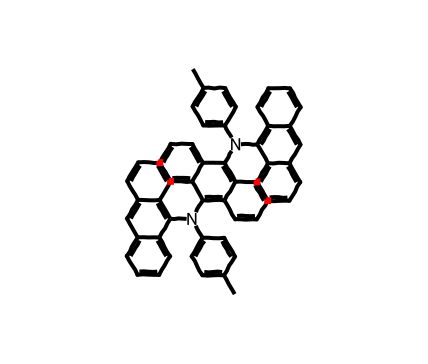 Cc1ccc(N(c2c3ccccc3cc3ccccc23)c2c3ccccc3c(N(c3ccc(C)cc3)c3c4ccccc4cc4ccccc34)c3ccccc23)cc1